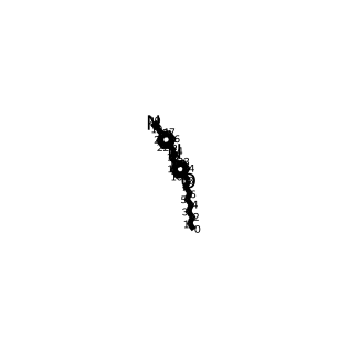 CCCCCCCCOc1ccc(C=Nc2ccc(C#N)cc2)cc1